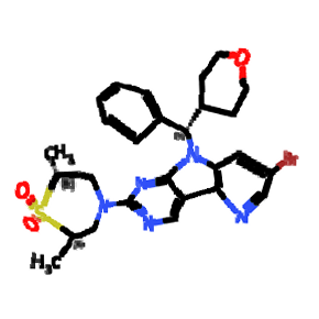 C[C@@H]1CN(c2ncc3c4ncc(Br)cc4n([C@H](c4ccccc4)C4CCOCC4)c3n2)C[C@@H](C)S1(=O)=O